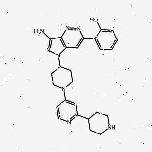 Nc1nn(C2CCN(c3ccnc(C4CCNCC4)c3)CC2)c2cc(-c3ccccc3O)nnc12